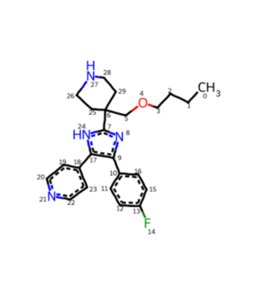 CCCCOCC1(c2nc(-c3ccc(F)cc3)c(-c3ccncc3)[nH]2)CCNCC1